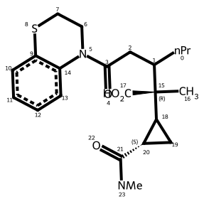 CCCC(CC(=O)N1CCSc2ccccc21)[C@@](C)(C(=O)O)C1C[C@@H]1C(=O)NC